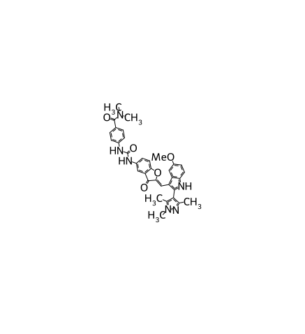 COc1ccc2[nH]c(-c3c(C)nn(C)c3C)c(C=C3Oc4ccc(NC(=O)Nc5ccc(C(=O)N(C)C)cc5)cc4C3=O)c2c1